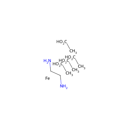 CC(=O)O.CC(=O)O.CC(=O)O.CC(=O)O.NCCN.[Fe]